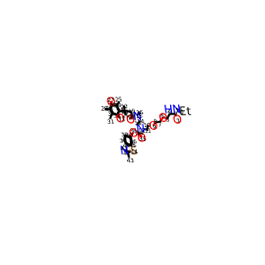 CCNC(=O)CCOCCOCCN(CCN(C)C(=O)CC(C)(C)C1=C(C)C(=O)C(C)=C(C)C1=O)C(=O)Oc1ccc2nc(C)sc2c1